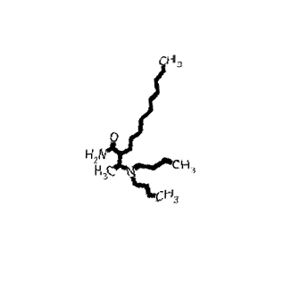 CCCCCCCCCCC(C(N)=O)C(C)N(CCCC)CCCC